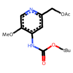 COc1cnc(COC(C)=O)cc1NC(=O)OC(C)(C)C